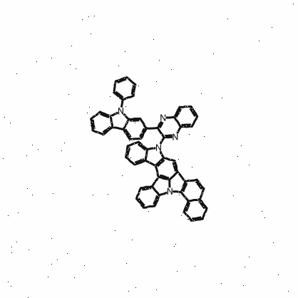 c1ccc(-n2c3ccccc3c3ccc(-c4nc5ccccc5nc4-n4c5ccccc5c5c6c7ccccc7n7c8c9ccccc9ccc8c(cc54)c67)cc32)cc1